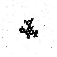 CC1CN(c2cc(=O)c3cc(C(=O)N(C)C)cc([C@H](C)N(C)c4cc(F)cc(F)c4)c3o2)CCO1